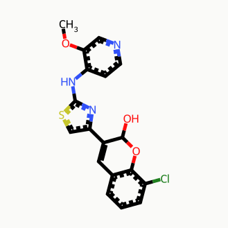 COc1cnccc1Nc1nc(C2=Cc3cccc(Cl)c3OC2O)cs1